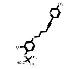 Cc1cc(OCCCC#Cc2ccc(C(F)(F)F)cn2)ccc1OC(C)(C)C(=O)O